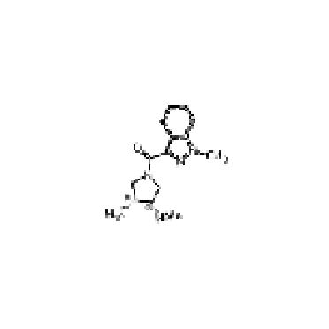 CN[C@H]1CN(C(=O)c2nn(C)c3ccccc23)C[C@H]1C